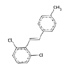 Cc1ccc(/C=C/c2c(Cl)cccc2Cl)cc1